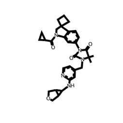 CC1(C)C(=O)N(c2ccc3c(c2)N(C(=O)C2CC2)CC32CCC2)C(=O)N1Cc1ccnc(NC2C3COCC32)c1